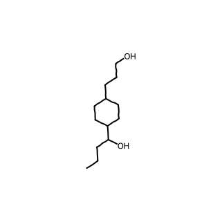 CCCC(O)C1CCC(CCCO)CC1